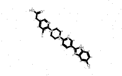 O=C(O)Cc1cnc(N2CCN(c3ccc(-c4nc5cc(Cl)ccc5[nH]4)cn3)CC2)c(F)c1